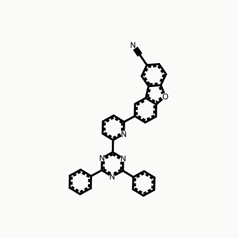 N#Cc1ccc2oc3ccc(-c4cccc(-c5nc(-c6ccccc6)nc(-c6ccccc6)n5)n4)cc3c2c1